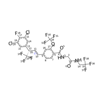 O=C(CNC(=O)c1ccc(/C=C/[C@@H](c2cc(Cl)c(F)c(Cl)c2)C(F)(F)F)cc1OC(F)(F)F)NCC(F)(F)F